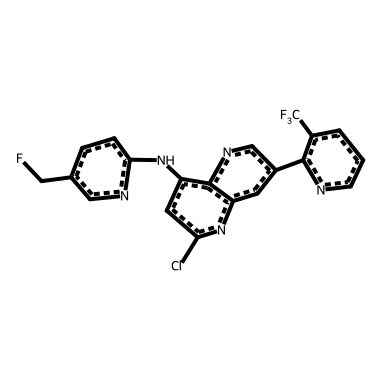 FCc1ccc(Nc2cc(Cl)nc3cc(-c4ncccc4C(F)(F)F)cnc23)nc1